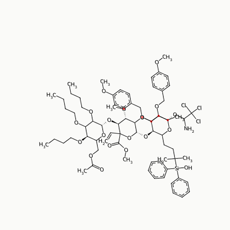 C=CC1(C(=O)OC)O[C@@H](O[C@@H]2C(CCC(C)(C)[Si](O)(c3ccccc3)c3ccccc3)O[C@@H](OC(N)C(Cl)(Cl)Cl)C(OCc3ccc(OC)cc3)C2OCc2ccc(OC)cc2)C(OCCCC)[C@@H](OC)[C@@H]1O[C@@H]1OC(COC(C)=O)[C@@H](OCCCC)C(OCCCC)C1OCCCC